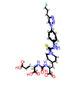 O=C(O)CC[C@H](NC(=O)N[C@@H](CC1CCN(C(=S)Nc2ccc(-n3cc(CCCF)nn3)cc2)CC1)C(=O)O)C(=O)O